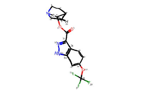 O=C(O[C@@H]1CN2CCC1CC2)c1n[nH]c2cc(OC(F)(F)F)ccc12